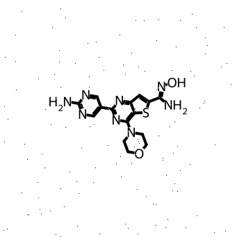 N/C(=N\O)c1cc2nc(-c3cnc(N)nc3)nc(N3CCOCC3)c2s1